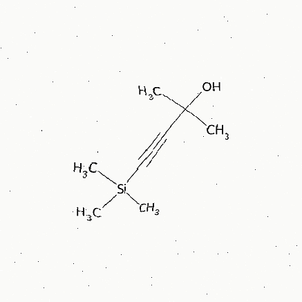 CC(C)(O)C#C[Si](C)(C)C